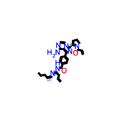 C=CC/C(=N\C=C/CCC)NC(=O)c1ccc(-c2nc([C@@H]3CCCN3C(=O)C=C)n3ccnc(N)c23)cc1